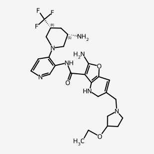 CCOC1CCN(CC2=Cc3oc(N)c(C(=O)Nc4cnccc4N4C[C@@H](N)C[C@@H](C(F)(F)F)C4)c3NC2)C1